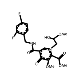 COC(=O)c1c(OC)c(=O)c(C(=O)NCc2ccc(F)cc2F)cn1CC(O)OC